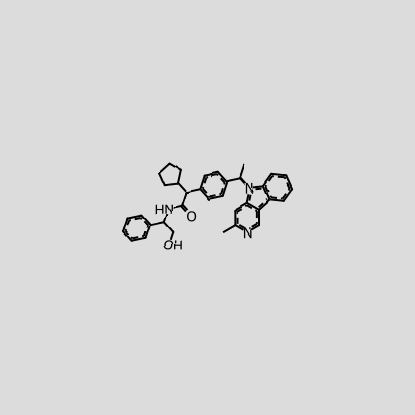 Cc1cc2c(cn1)c1ccccc1n2C(C)c1ccc(C(C(=O)NC(CO)c2ccccc2)C2CCCC2)cc1